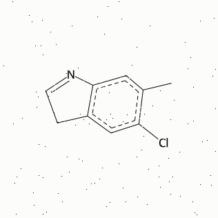 Cc1cc2c(cc1Cl)CC=N2